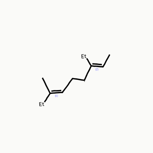 C/C=C(/[CH]C/C=C(\C)CC)CC